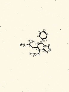 CCc1c(CC(C)C)nc(-c2ccccc2)n2cnnc12